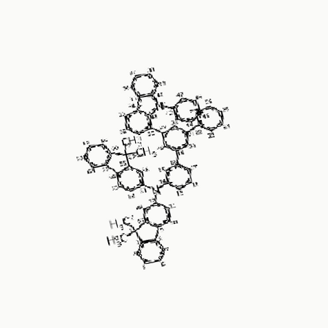 CC1(C)c2ccccc2-c2ccc(N(c3cccc(-c4cc(-c5ccccc5)cc(-c5cccc6c7ccccc7n(-c7ccccc7)c56)c4)c3)c3ccc4c(c3)C(C)(C)c3ccccc3-4)cc21